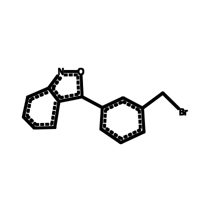 BrCc1cccc(-c2onc3ccccc23)c1